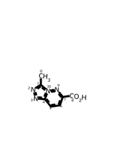 Cc1nnc2ccc(C(=O)O)nn12